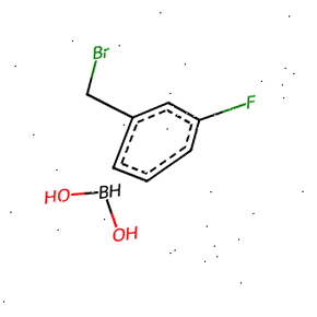 Fc1cccc(CBr)c1.OBO